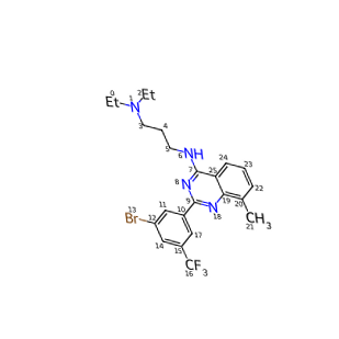 CCN(CC)CCCNc1nc(-c2cc(Br)cc(C(F)(F)F)c2)nc2c(C)cccc12